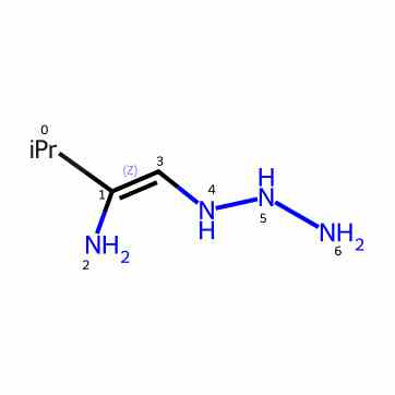 CC(C)/C(N)=C/NNN